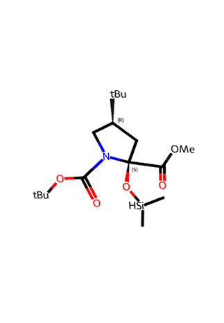 COC(=O)[C@@]1(O[SiH](C)C)C[C@H](C(C)(C)C)CN1C(=O)OC(C)(C)C